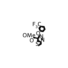 COC(=O)c1c(Oc2cccc(C(F)(F)F)c2)nnc2ccsc12